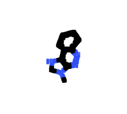 CN1CNc2c1nnc1ccccc21